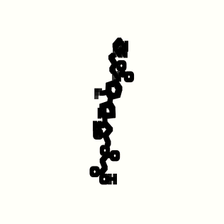 O=C(O)CCC(=O)OCC1CC(c2ccc(-c3ccc(N4CC(Cn5ccnn5)OC4=O)cc3F)cn2)=NO1